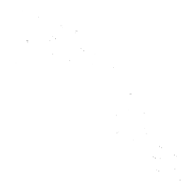 COc1ccccc1N1CCN(CCCCOc2cccc(CN3N=C(C)NN3)c2)CC1